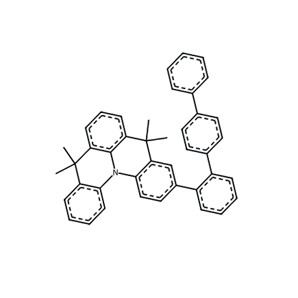 CC1(C)c2ccccc2N2c3ccc(-c4ccccc4-c4ccc(-c5ccccc5)cc4)cc3C(C)(C)c3cccc1c32